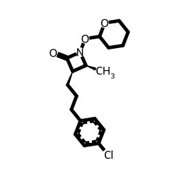 C[C@H]1[C@@H](CCCc2ccc(Cl)cc2)C(=O)N1OC1CCCCO1